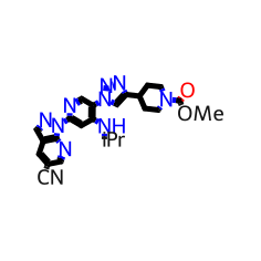 COC(=O)N1CCC(c2cn(-c3cnc(-n4ncc5cc(C#N)cnc54)cc3NC(C)C)nn2)CC1